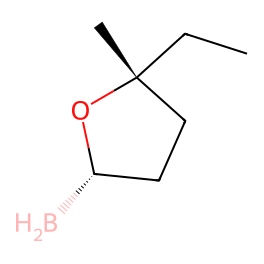 B[C@H]1CC[C@@](C)(CC)O1